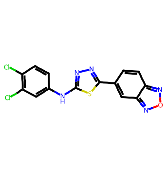 Clc1ccc(Nc2nnc(-c3ccc4nonc4c3)s2)cc1Cl